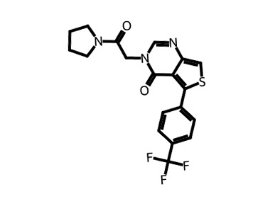 O=C(Cn1cnc2csc(-c3ccc(C(F)(F)F)cc3)c2c1=O)N1CCCC1